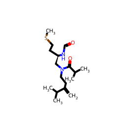 C=C(CCN(C[C@@H](CCSC)NC=O)C(=O)C(C)C)C(C)C